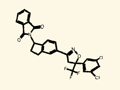 O=C1c2ccccc2C(=O)N1C1CCc2cc(C3=NOC(c4cc(Cl)cc(Cl)c4)(C(F)(F)F)C3)ccc21